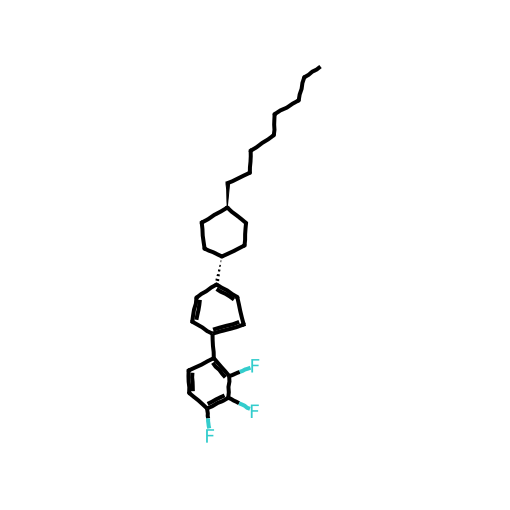 CCCCCCCC[C@H]1CC[C@H](c2ccc(-c3ccc(F)c(F)c3F)cc2)CC1